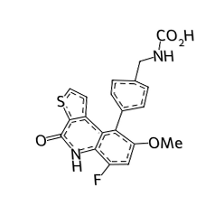 COc1cc(F)c2[nH]c(=O)c3sccc3c2c1-c1ccc(CNC(=O)O)cc1